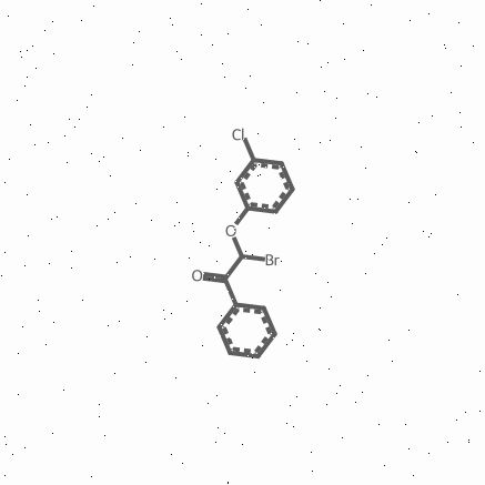 O=C(c1ccccc1)C(Br)Oc1cccc(Cl)c1